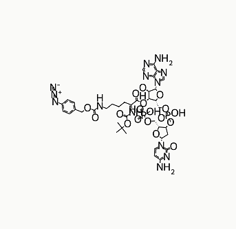 CC(C)(C)OC(=O)NC(CCCCNC(=O)OCc1ccc(N=[N+]=[N-])cc1)C(=O)O[C@H]1[C@@H](O)[C@H](n2cnc3c(N)ncnc32)O[C@@H]1COP(=O)(O)O[C@H]1C[C@H](n2ccc(N)nc2=O)O[C@@H]1COP(=O)(O)O